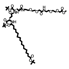 COC(=O)COCCOCCNC(=O)COCCOCCNC(=O)CC[C@H](NC(=O)CC[C@H](NC(=O)CCCCCCCCCCCCCCCCC(=O)OC(C)(C)C)C(=O)OC(C)(C)C)C(=O)OC(C)(C)C